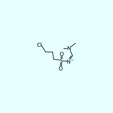 CN(C)/C=N\S(=O)(=O)CCCCl